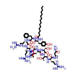 CCCCCCCCCCCCCCCC(=O)N[C@@H](Cc1ccc(O)cc1)C(=O)NC(Cc1ccccc1)C(=O)N[C@@H](CCCNC(=N)N)C(=O)N[C@@H](CCCNC(=N)N)C(=O)N[C@@H](CC(C)C)C(=O)N[C@@H](Cc1c[nH]cn1)C(=O)N[C@@H](CO)C(=O)N[C@H](C(=O)N[C@@H](CCCNC(=N)N)C(=O)N[C@H](C)CC(N)=O)[C@@H](C)O